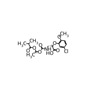 COc1ccc(Cl)cc1O[C@@H](CNC(=O)O[C@@H](C)OC(=O)C(C)C)C(=O)O